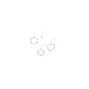 O=C(O)c1ccccc1Nc1cccc(Cl)c1-c1ccc2c(c1)OCO2